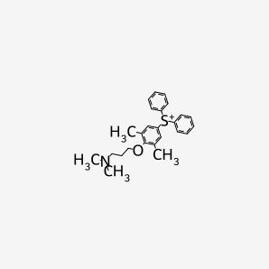 Cc1cc([S+](c2ccccc2)c2ccccc2)cc(C)c1OCCCN(C)C